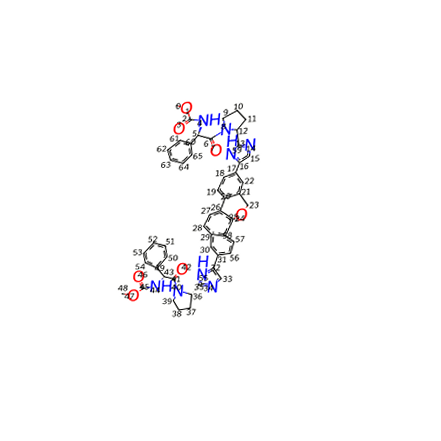 COC(=O)N[C@@H](C(=O)N1CCCC1c1ncc(-c2ccc3c(c2)COc2c-3ccc3cc(-c4cnc([C@@H]5CCCN5C(=O)[C@H](NC(=O)OC)c5ccccc5)[nH]4)ccc23)[nH]1)c1ccccc1